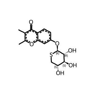 Cc1oc2cc(O[C@@H]3SC[C@@H](O)[C@H](O)[C@H]3O)ccc2c(=O)c1C